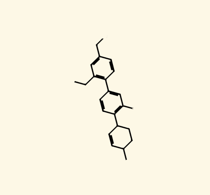 CCc1cc(CS)ccc1-c1ccc(C2C=CC(C)CC2)c(F)c1